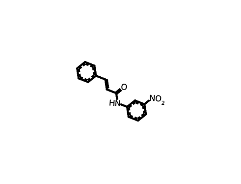 O=C(C=Cc1ccccc1)Nc1cccc([N+](=O)[O-])c1